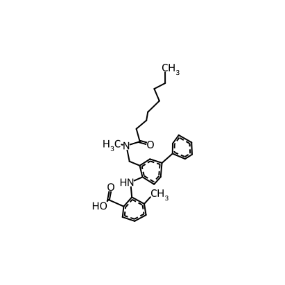 CCCCCCCC(=O)N(C)Cc1cc(-c2ccccc2)ccc1Nc1c(C)cccc1C(=O)O